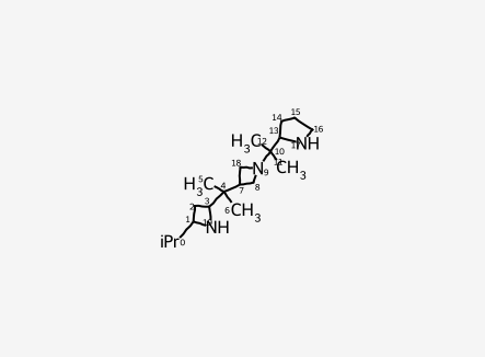 CC(C)C1CC(C(C)(C)C2CN(C(C)(C)C3CCCN3)C2)N1